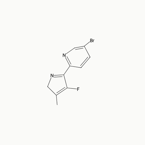 CC1=C(F)C(c2ccc(Br)cn2)=NC1